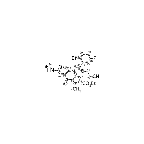 CCOC(=O)c1sc2c(c1C)c(=O)n(CC(=O)NC(C)C)c(=O)n2C[C@H](OCCC#N)c1cc(F)ccc1CC